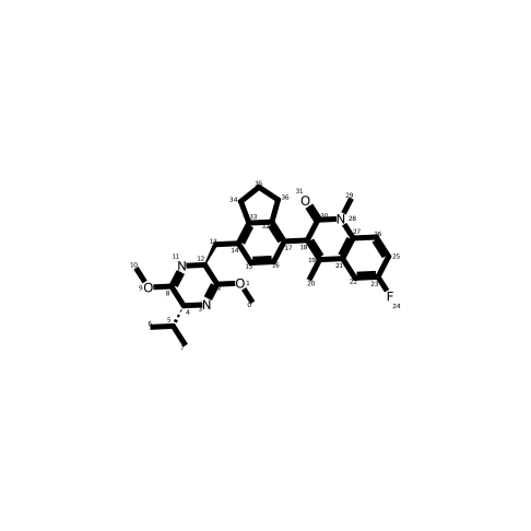 COC1=N[C@H](C(C)C)C(OC)=N[C@H]1Cc1ccc(-c2c(C)c3cc(F)ccc3n(C)c2=O)c2c1CCC2